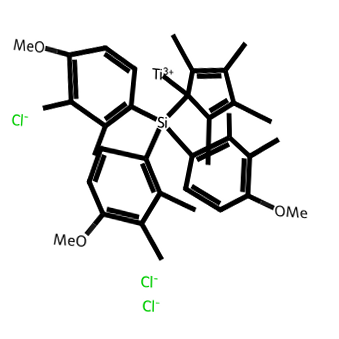 COc1ccc([Si](c2ccc(OC)c(C)c2C)(c2ccc(OC)c(C)c2C)[C]2([Ti+3])C(C)=C(C)C(C)=C2C)c(C)c1C.[Cl-].[Cl-].[Cl-]